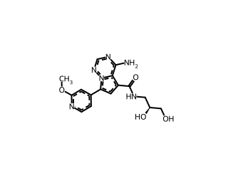 COc1cc(-c2cc(C(=O)NC[C@H](O)CO)c3c(N)ncnn23)ccn1